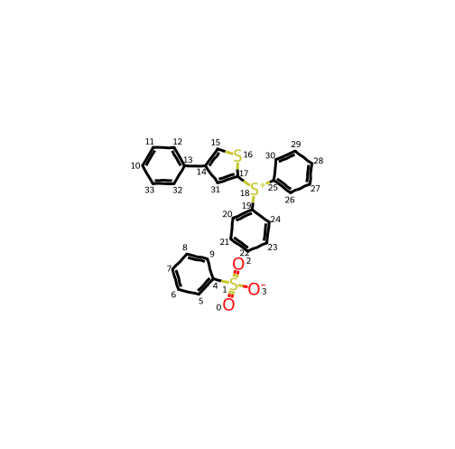 O=S(=O)([O-])c1ccccc1.c1ccc(-c2csc([S+](c3ccccc3)c3ccccc3)c2)cc1